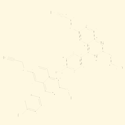 C#CCOc1ccc2nc(SC(C)C)nc(-c3ccc(C(C)C)cc3)c2c1.C#CCOc1ccc2nc(SCC(C)C)nc(-c3ccc(C(C)C)cc3)c2c1